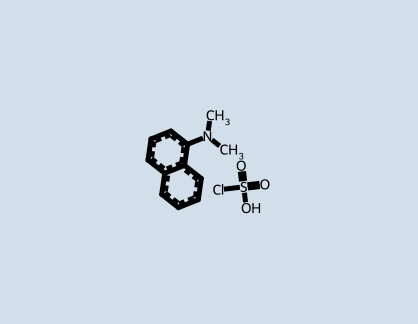 CN(C)c1cccc2ccccc12.O=S(=O)(O)Cl